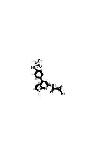 CCS(=O)(=O)Nc1ccc(-c2cc(NC(=O)C3CC3C)nc3[nH]ccc23)cc1